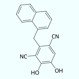 N#Cc1cc(O)c(O)c(C#N)c1Cc1cccc2ccccc12